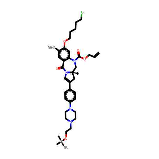 C=CCOC(=O)N1C[C@@H]2CC(c3ccc(N4CCN(CCO[Si](C)(C)C(C)(C)C)CC4)cc3)=CN2C(=O)c2cc(OC)c(OCCCCCBr)cc21